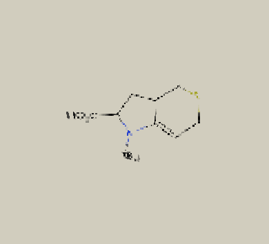 CC(C)(C)N1C2=CCSCC2CC1C(=O)O